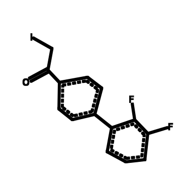 O=C(CI)c1ccc(-c2cccc(F)c2F)cc1